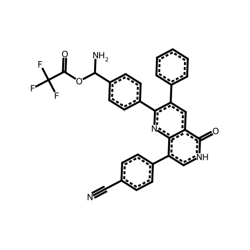 N#Cc1ccc(-c2c[nH]c(=O)c3cc(-c4ccccc4)c(-c4ccc(C(N)OC(=O)C(F)(F)F)cc4)nc23)cc1